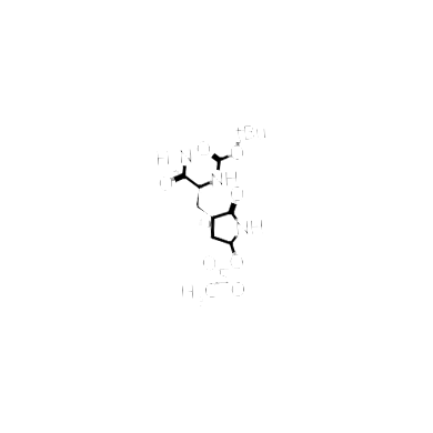 CC(C)(C)OC(=O)N[C@@H](C[C@@H]1CC(OS(C)(=O)=O)NC1=O)C(N)=O